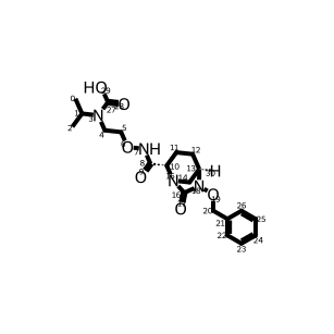 CC(C)N(CCONC(=O)[C@@H]1CC[C@@H]2CN1C(=O)N2OCc1ccccc1)C(=O)O